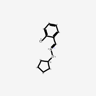 Clc1ccccc1/[C]=N/OC1CCCC1